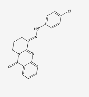 O=c1c2ccccc2nc2n1CCC/C2=N\Nc1ccc(Cl)cc1